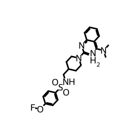 C=C(/N=C1/C=CC=C/C1=C(/N)N(C)C)N1CCC(CNS(=O)(=O)c2ccc(OF)cc2)CC1